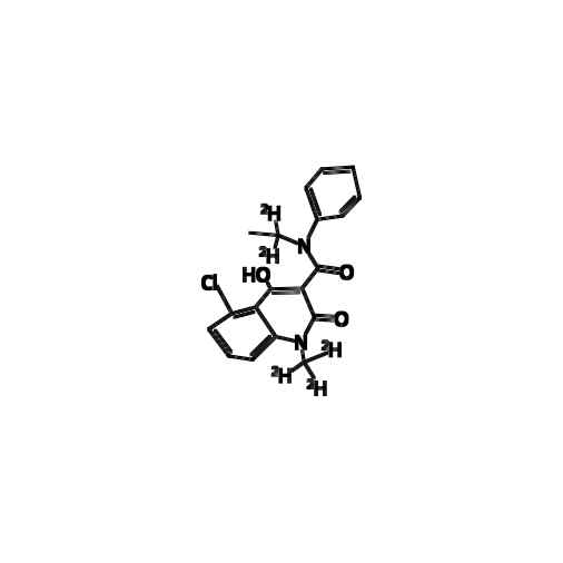 [2H]C([2H])(C)N(C(=O)c1c(O)c2c(Cl)cccc2n(C([2H])([2H])[2H])c1=O)c1ccccc1